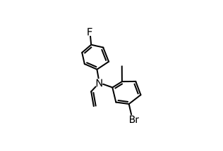 C=CN(c1ccc(F)cc1)c1cc(Br)ccc1C